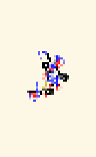 CC(=O)N[C@H](Cc1ccccc1)C(=O)N[C@@H](CSSC[C@H](NC(=O)CC(C)O)C(N)=O)C(=O)N[C@@H](Cc1ccccc1)C(=O)N[C@H](CC1CNc2ccccc21)C(=O)N[C@@H](CCCCN)C(N)=O